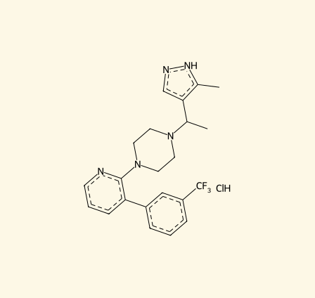 Cc1[nH]ncc1C(C)N1CCN(c2ncccc2-c2cccc(C(F)(F)F)c2)CC1.Cl